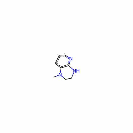 CN1CCNc2n[c]ccc21